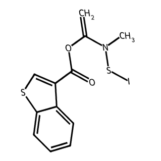 C=C(OC(=O)c1csc2ccccc12)N(C)SI